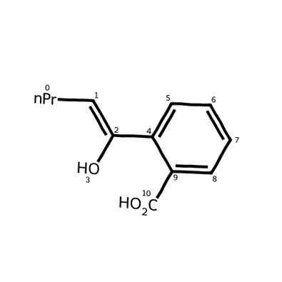 CCC/C=C(\O)c1ccccc1C(=O)O